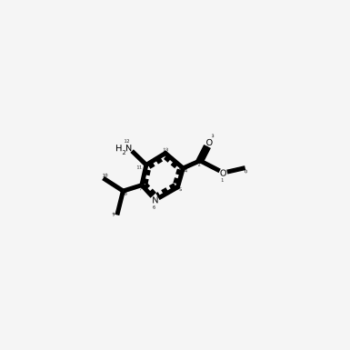 COC(=O)c1cnc(C(C)C)c(N)c1